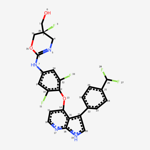 OC[C@]1(F)CN=C(Nc2cc(F)c(Oc3ccnc4[nH]cc(-c5ccc(C(F)F)cc5)c34)c(F)c2)OC1